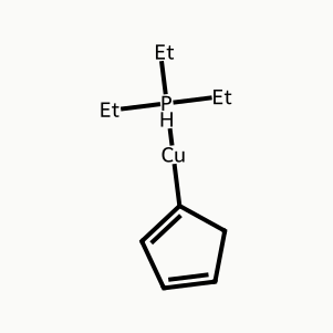 CC[PH](CC)(CC)[Cu][C]1=CC=CC1